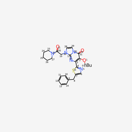 CCCCOc1c(-c2ncc(Cc3ccccc3)s2)nc2n(CC(=O)N3CCCCC3)ccn2c1=O